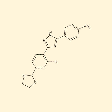 Cc1ccc(-c2cc(-c3ccc(C4OCCO4)cc3Br)n[nH]2)cc1